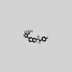 CN1N=CC(c2ccc3cnc(NC(=O)c4ccc(F)cc4)cc3c2)C1CO